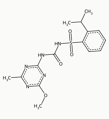 COc1nc(C)nc(NC(=O)NS(=O)(=O)c2ccccc2C(C)C)n1